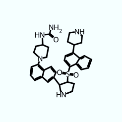 NC(=O)NC1CCN(c2cccc3cc(C4CNCCC4S(=O)(=O)c4ccc(C5CCNCC5)c5ccccc45)ccc23)CC1